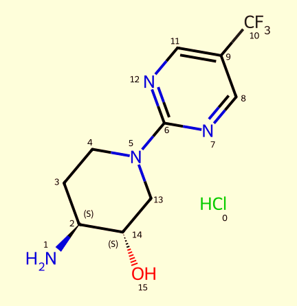 Cl.N[C@H]1CCN(c2ncc(C(F)(F)F)cn2)C[C@@H]1O